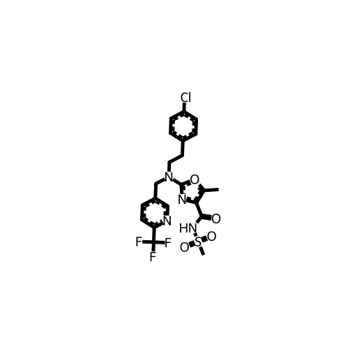 Cc1oc(N(CCc2ccc(Cl)cc2)Cc2ccc(C(F)(F)F)nc2)nc1C(=O)NS(C)(=O)=O